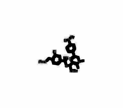 CCCC(C)Cc1ccc(C(=N)OC(NC)C2=C(C)N(C)CC(c3ccc([S+]([O-])C(C)C)cc3)=N2)cc1Cl